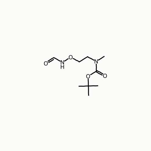 CN(CCONC=O)C(=O)OC(C)(C)C